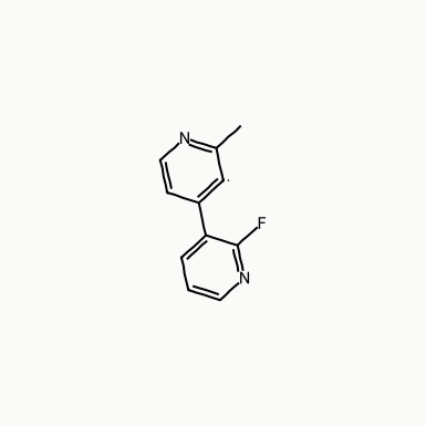 Cc1[c]c(-c2cccnc2F)ccn1